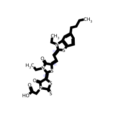 CCCCc1ccc2c(c1)N(CC)/C(=C/C=c1/s/c(=C3\SC(=S)N(CC(=O)O)C3=O)n(CC)c1=O)S2